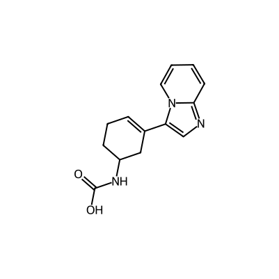 O=C(O)NC1CCC=C(c2cnc3ccccn23)C1